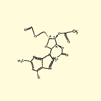 CC(=O)O[C@@H]1[C@@H](COC=O)OC(n2cnc3c(Cl)nc(C)nc32)[C@@H]1OC(C)=O